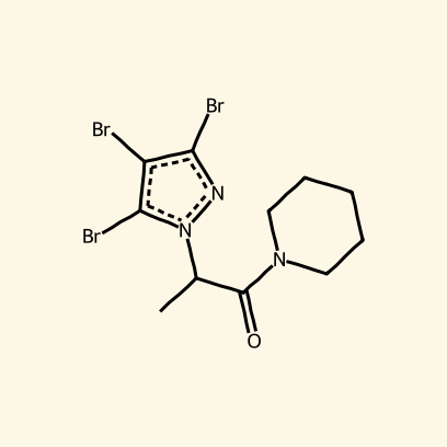 CC(C(=O)N1CCCCC1)n1nc(Br)c(Br)c1Br